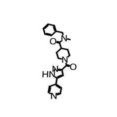 CN(Cc1ccccc1)C(=O)C1CCN(C(=O)c2cc(-c3ccncc3)[nH]n2)CC1